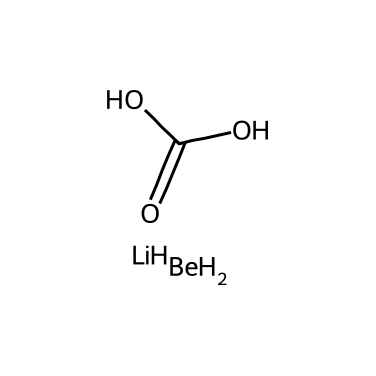 O=C(O)O.[BeH2].[LiH]